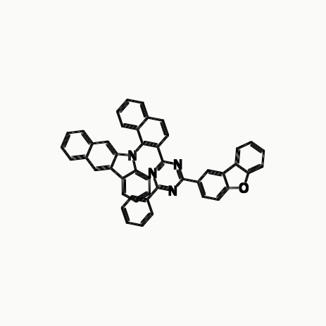 c1ccc(-c2nc(-c3ccc4oc5ccccc5c4c3)nc(-c3ccc4ccccc4c3-n3c4ccccc4c4cc5ccccc5cc43)n2)cc1